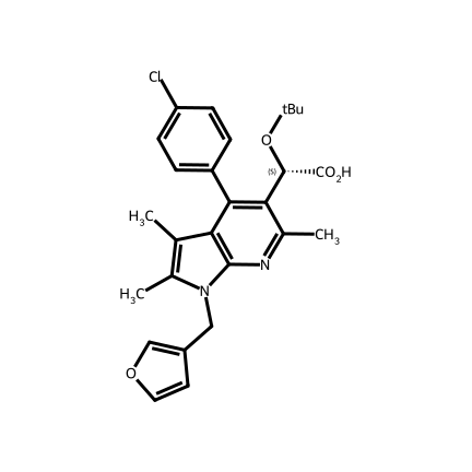 Cc1nc2c(c(C)c(C)n2Cc2ccoc2)c(-c2ccc(Cl)cc2)c1[C@H](OC(C)(C)C)C(=O)O